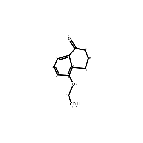 O=C(O)COc1cccc2c1CCCC2=O